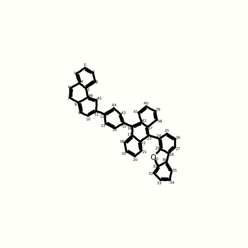 c1ccc2c(c1)ccc1ccc(-c3ccc(-c4c5ccccc5c(-c5cccc6c5oc5ccccc56)c5ccccc45)cc3)cc12